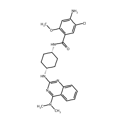 COc1cc(N)c(Cl)cc1C(=O)N[C@H]1CC[C@@H](Nc2nc(N(C)C)c3ccccc3n2)CC1